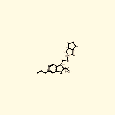 CCCc1ccc2c(c1)sc(=O)n2CCN1CC2CCCC2C1.Cl